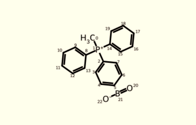 C[P+](c1ccccc1)(c1ccccc1)c1ccccc1.O=B[O-]